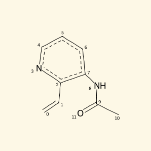 C=Cc1ncccc1NC(C)=O